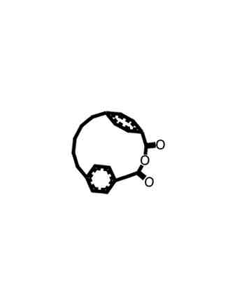 O=C1OC(=O)c2ccc(cc2)CCCCCc2ccc1cc2